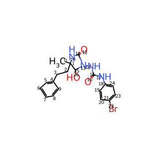 CC1(CCc2ccccc2)NC(=O)N(NC(=O)Nc2ccc(Br)cc2)C1O